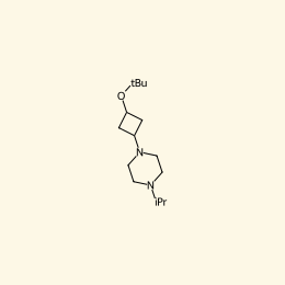 CC(C)N1CCN(C2CC(OC(C)(C)C)C2)CC1